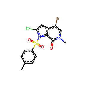 Cc1ccc(S(=O)(=O)n2c(Cl)cc3c(Br)cn(C)c(=O)c32)cc1